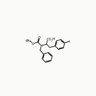 CC(C)(C)OC(=O)N(Cc1ccccc1)C(Cc1ccc(I)cc1)C(=O)O